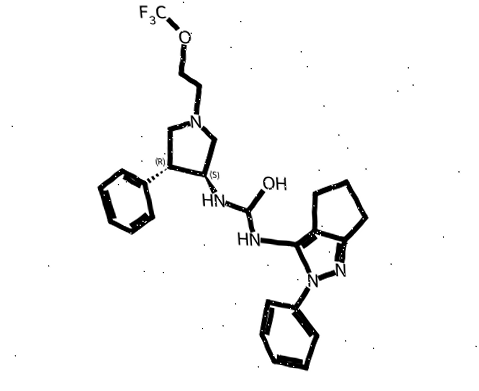 OC(Nc1c2c(nn1-c1ccccc1)CCC2)N[C@@H]1CN(CCOC(F)(F)F)C[C@H]1c1ccccc1